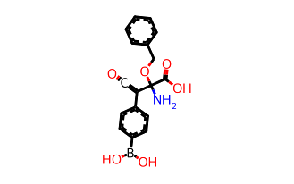 NC(OCc1ccccc1)(C(=O)O)C(=C=O)c1ccc(B(O)O)cc1